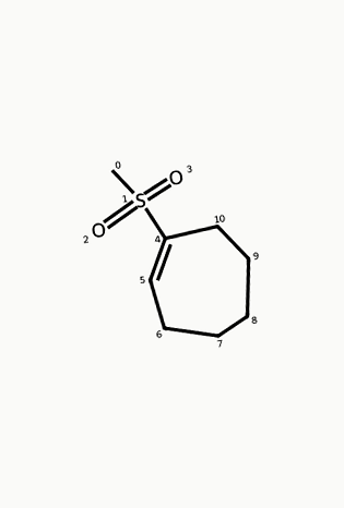 CS(=O)(=O)C1=CCCCCC1